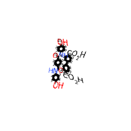 O=C(Nc1ccc(O)cc1)c1ccc(C(=O)Nc2ccc(O)cc2)cc1.O=C(O)c1ccc(-c2ccc(C(=O)O)cc2)cc1